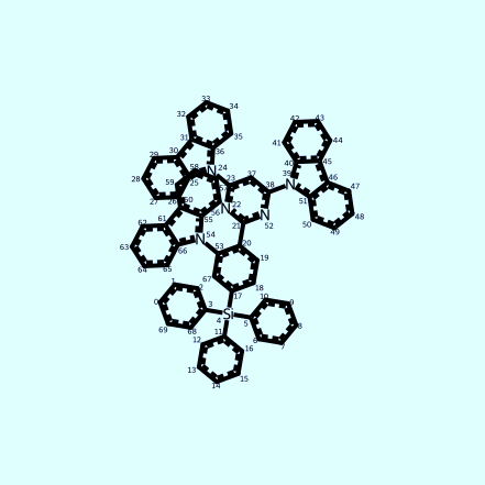 c1ccc([Si](c2ccccc2)(c2ccccc2)c2ccc(-c3nc(-n4c5ccccc5c5ccccc54)cc(-n4c5ccccc5c5ccccc54)n3)c(-n3c4ccccc4c4ccccc43)c2)cc1